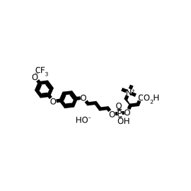 C[N+](C)(C)C[C@@H](CC(=O)O)OP(=O)(O)OCCCCOc1ccc(Oc2ccc(OC(F)(F)F)cc2)cc1.[OH-]